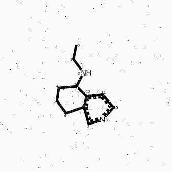 CCNC1CCCc2cnccc21